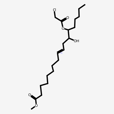 CCCCCC(OC(=O)CCl)C(O)C/C=C/CCCCCCCC(=O)OC